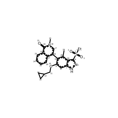 CCS(=O)(=O)c1n[nH]c2cc(OCC3CC3)c(-c3cn(C)c(=O)c4ccccc34)c(C)c12